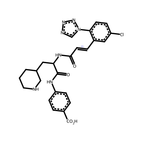 O=C(/C=C/c1cc(Cl)ccc1-n1cnnn1)NC(CC1CCCNC1)C(=O)Nc1ccc(C(=O)O)cc1